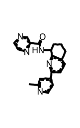 Cc1cc(-c2ccc3c(n2)C(NC(=O)c2cnccn2)CCC3)ccn1